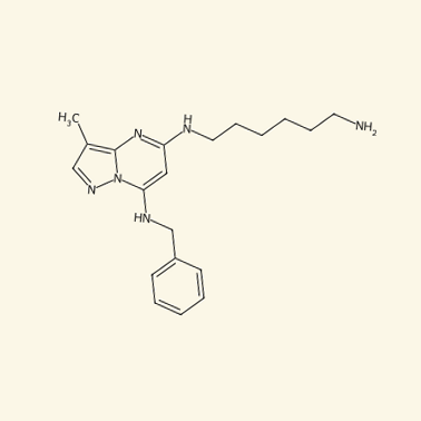 Cc1cnn2c(NCc3ccccc3)cc(NCCCCCCN)nc12